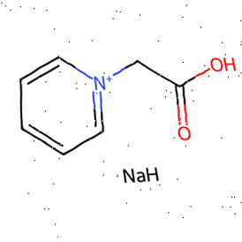 O=C(O)C[n+]1ccccc1.[NaH]